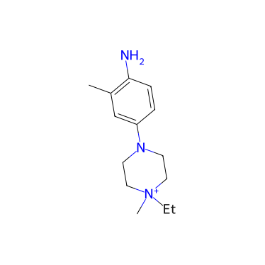 CC[N+]1(C)CCN(c2ccc(N)c(C)c2)CC1